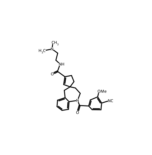 [C-]#[N+]c1ccc(C(=O)N2CCC3(C=C(C(=O)NCCN(C)C)CC3)Cc3ccccc32)cc1OC